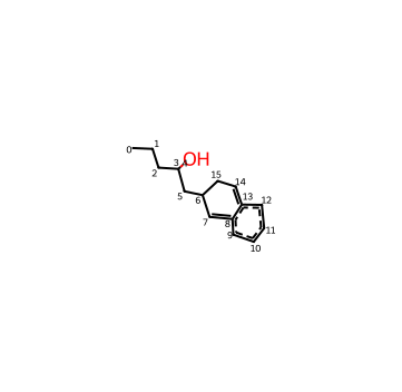 CCCC(O)CC1C=c2ccccc2=CC1